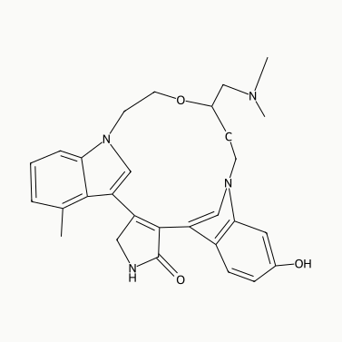 Cc1cccc2c1c1cn2CCOC(CN(C)C)CCn2cc(c3ccc(O)cc32)C2=C1CNC2=O